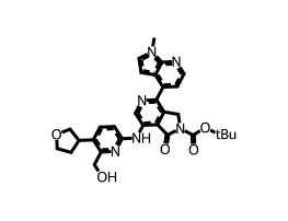 Cn1ccc2c(-c3ncc(Nc4ccc(C5CCOC5)c(CO)n4)c4c3CN(C(=O)OC(C)(C)C)C4=O)ccnc21